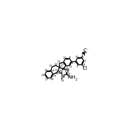 [C-]#[N+]c1cc(Cl)cc(-c2ccc3c(c2)C2(N=C(N)N(C)O2)C2(CCc4ccccc4CC2)C3)c1